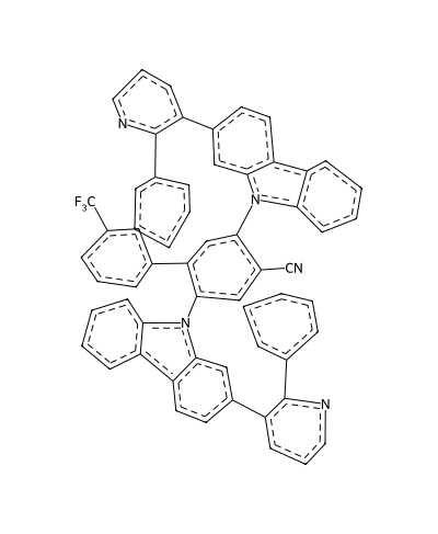 N#Cc1cc(-n2c3ccccc3c3ccc(-c4cccnc4-c4ccccc4)cc32)c(-c2cccc(C(F)(F)F)c2)cc1-n1c2ccccc2c2ccc(-c3cccnc3-c3ccccc3)cc21